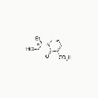 CC[C@H](CO)n1cccc(C(=O)O)c1=O